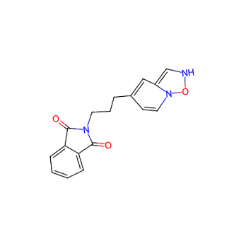 O=C1c2ccccc2C(=O)N1CCCC1=CC2=CNON2C=C1